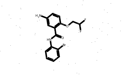 Nc1ccc(OCC(F)F)c(C(=O)Nc2ccccc2Br)c1